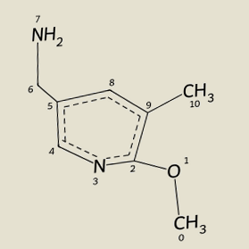 COc1ncc(CN)cc1C